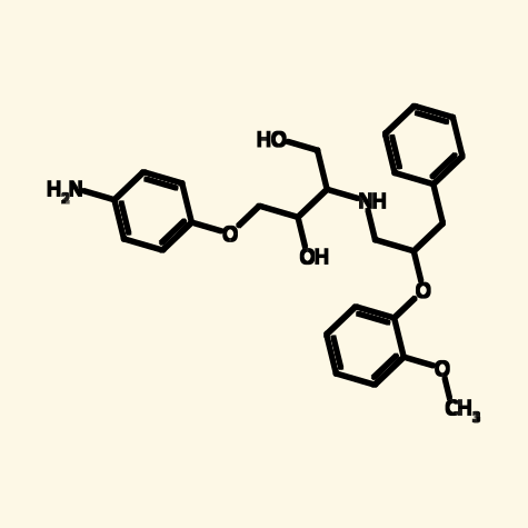 COc1ccccc1OC(CNC(CO)C(O)COc1ccc(N)cc1)Cc1ccccc1